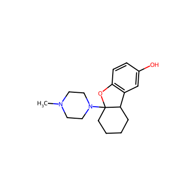 CN1CCN(C23CCCCC2c2cc(O)ccc2O3)CC1